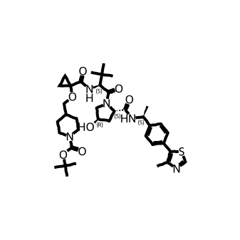 Cc1ncsc1-c1ccc([C@H](C)NC(=O)[C@@H]2C[C@@H](O)CN2C(=O)[C@@H](NC(=O)C2(OCC3CCN(C(=O)OC(C)(C)C)CC3)CC2)C(C)(C)C)cc1